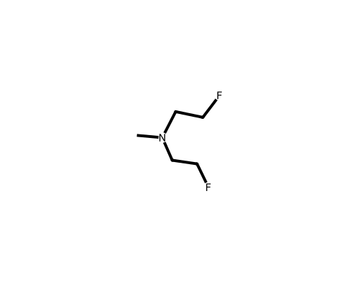 CN(CCF)CCF